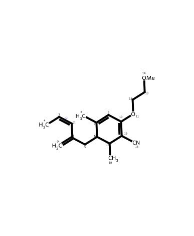 C=C(/C=C\C)CC1C(C)=CC(OCCOC)=C(C#N)C1C